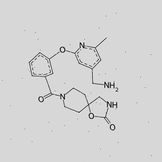 Cc1cc(CN)cc(Oc2cccc(C(=O)N3CCC4(CC3)CNC(=O)O4)c2)n1